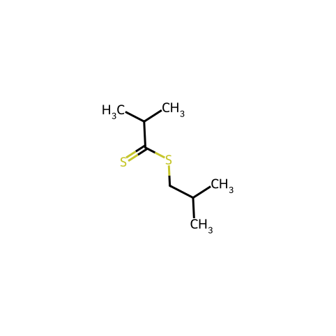 CC(C)CSC(=S)C(C)C